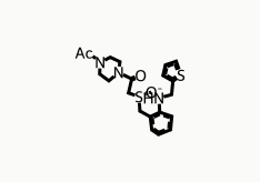 CC(=O)N1CCN(C(=O)C[S+]([O-])Cc2ccccc2NCc2cccs2)CC1